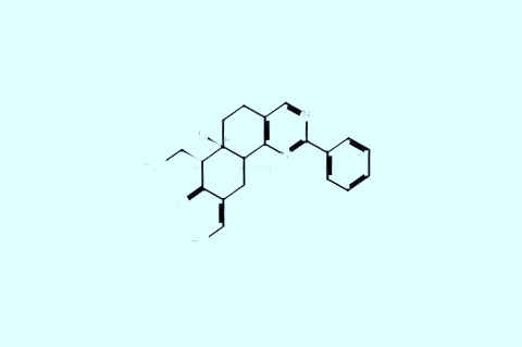 CC[C@@H]1C(=O)/C(=C\O)C[C@]2(C)c3nc(-c4ccccc4)ncc3CC[C@@H]12